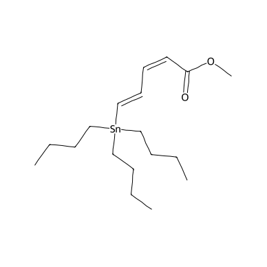 CCC[CH2][Sn](/[CH]=C/C=C\C(=O)OC)([CH2]CCC)[CH2]CCC